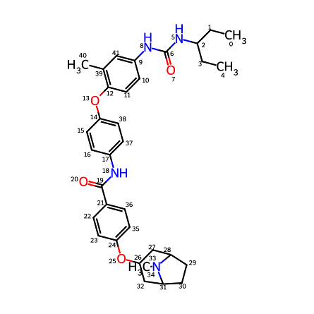 CCC(CC)NC(=O)Nc1ccc(Oc2ccc(NC(=O)c3ccc(OC4CC5CCC(C4)N5C)cc3)cc2)c(C)c1